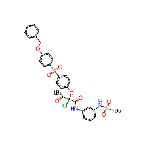 CCCCS(=O)(=O)Nc1cccc(NC(=O)C(Cl)(Oc2ccc(S(=O)(=O)c3ccc(OCc4ccccc4)cc3)cc2)C(=O)C(C)(C)C)c1